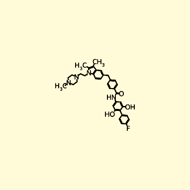 Cc1c(C)n(CCN2CCN(C)CC2)c2ccc(Cc3ccc(C(=O)Nc4cc(O)c(-c5ccc(F)cc5)c(O)c4)cc3)cc12